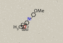 COc1ccc(/C=N/c2ccc(O[Si](C)(C)C(C)(C)C)cc2)cc1